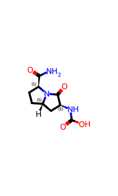 NC(=O)[C@@H]1CC[C@H]2C[C@H](NC(=O)O)C(=O)N21